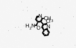 Cc1nccc(C(N)=O)c1-c1cc2ccccc2nc1Cl